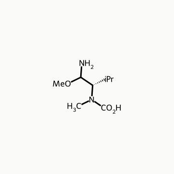 COC(N)[C@H](C(C)C)N(C)C(=O)O